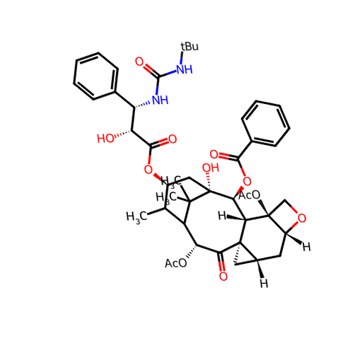 CC(=O)O[C@H]1C(=O)[C@]23C[C@H]2C[C@H]2OC[C@@]2(OC(C)=O)[C@H]3[C@H](OC(=O)c2ccccc2)[C@]2(O)C[C@H](OC(=O)[C@H](O)[C@@H](NC(=O)NC(C)(C)C)c3ccccc3)C(C)C1C2(C)C